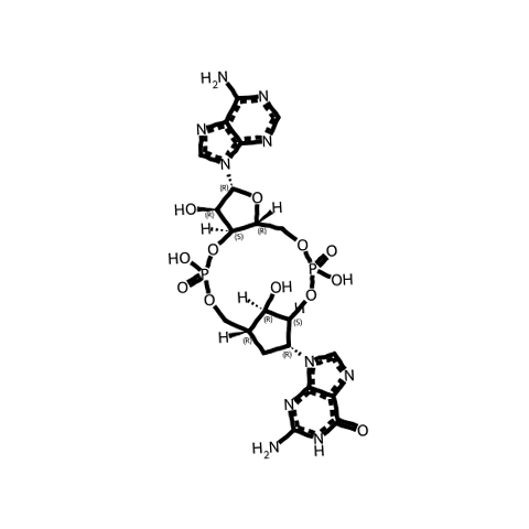 Nc1nc2c(ncn2[C@@H]2C[C@@H]3COP(=O)(O)O[C@H]4[C@@H](O)[C@H](n5cnc6c(N)ncnc65)O[C@@H]4COP(=O)(O)O[C@@H]2[C@@H]3O)c(=O)[nH]1